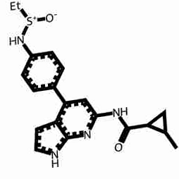 CC[S+]([O-])Nc1ccc(-c2cc(NC(=O)C3CC3C)nc3[nH]ccc23)cc1